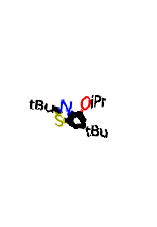 CC(C)Oc1cc(C(C)(C)C)cc2sc(C(C)(C)C)nc12